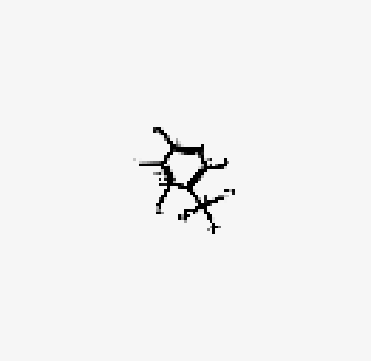 Cc1cc(C)c(C(F)(F)F)c(C)c1C